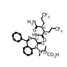 C[C@@H](C(=O)O)N(C)N1C(=O)[C@@H](NC(=O)[C@H](CCC(F)(F)F)[C@H](CCC(F)(F)F)C(N)=O)N=C(c2ccccc2)c2ccccc21